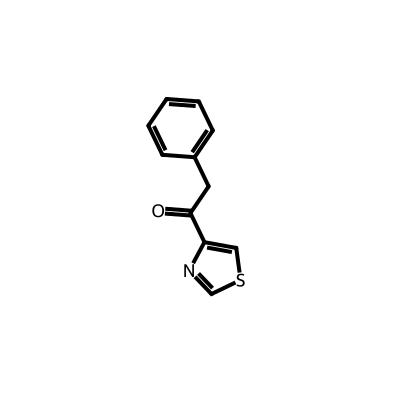 O=C(Cc1ccccc1)c1cscn1